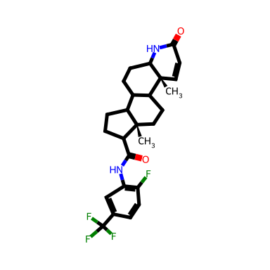 C[C@]12C=CC(=O)NC1CCC1C2CC[C@]2(C)C(C(=O)Nc3cc(C(F)(F)F)ccc3F)CCC12